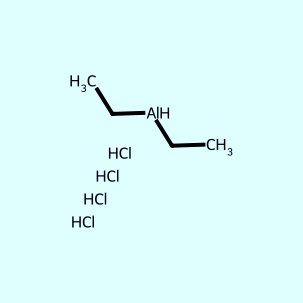 C[CH2][AlH][CH2]C.Cl.Cl.Cl.Cl